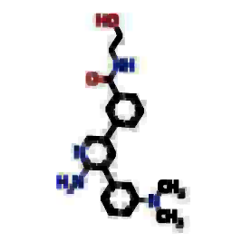 CN(C)c1cccc(-c2cc(-c3cccc(C(=O)NCCO)c3)cnc2N)c1